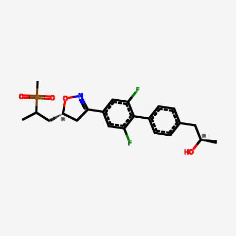 CC(C[C@H]1CC(c2cc(F)c(-c3ccc(C[C@@H](C)O)cc3)c(F)c2)=NO1)S(C)(=O)=O